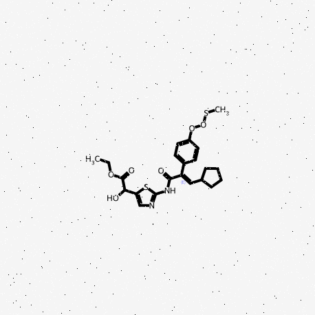 CCOC(=O)C(O)c1cnc(NC(=O)/C(=C/C2CCCC2)c2ccc(OOSC)cc2)s1